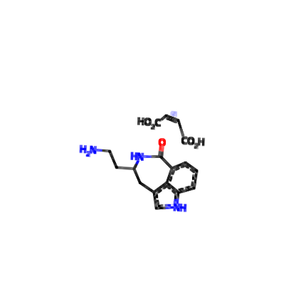 NCCC1Cc2c[nH]c3cccc(c23)C(=O)N1.O=C(O)/C=C\C(=O)O